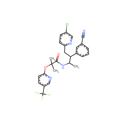 CC(NC(=O)C(C)(C)Oc1ccc(C(F)(F)F)cn1)C(Cc1ccc(Cl)cn1)c1cccc(C#N)c1